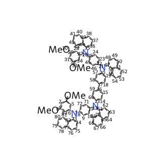 COc1cc(OC)cc(N(c2ccc(N(c3ccc(-c4ccc(N(c5ccc(N(c6cc(OC)cc(OC)c6)c6cccc7ccccc67)cc5)c5cccc6ccccc56)cc4)cc3)c3cccc4ccccc34)cc2)c2cccc3ccccc23)c1